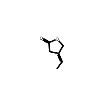 CC=C1COC(=O)C1